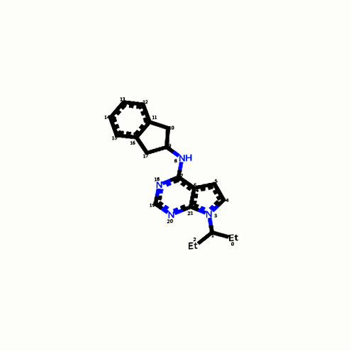 CCC(CC)n1ccc2c(NC3Cc4ccccc4C3)ncnc21